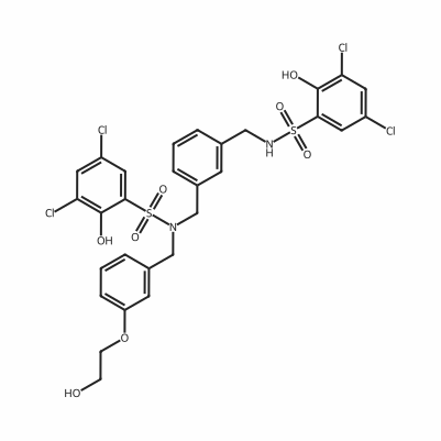 O=S(=O)(NCc1cccc(CN(Cc2cccc(OCCO)c2)S(=O)(=O)c2cc(Cl)cc(Cl)c2O)c1)c1cc(Cl)cc(Cl)c1O